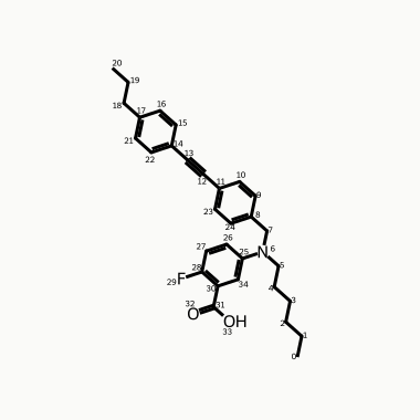 CCCCCCN(Cc1ccc(C#Cc2ccc(CCC)cc2)cc1)c1ccc(F)c(C(=O)O)c1